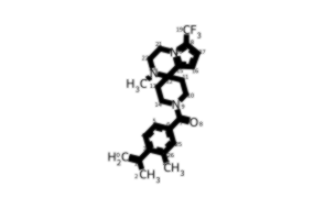 C=C(C)c1ccc(C(=O)N2CCC3(CC2)c2ccc(C(F)(F)F)n2CCN3C)cc1C